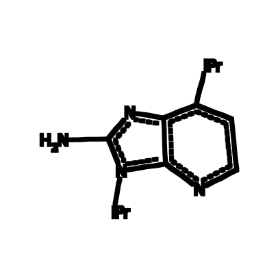 CC(C)c1ccnc2c1nc(N)n2C(C)C